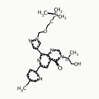 Cc1ccc(-c2cc3c(=O)n([C@@H](C)CO)cnc3c(-c3cnn(COCC[Si](C)(C)C)c3)n2)nc1